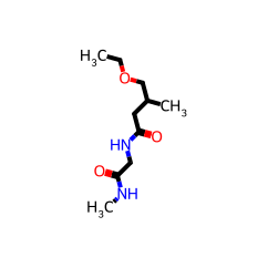 CCOCC(C)CC(=O)NCC(=O)NC